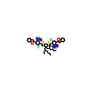 CCCCC(CC)CC1(CC(CC)CCCC)c2cc(-c3c(F)cc(-c4cc5ccccc5o4)c4nsnc34)sc2-c2sc(-c3c(F)cc(-c4cc5ccccc5o4)c4nsnc34)cc21